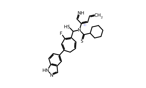 C=C/C=C(\C=N)N(C(=S)C1CCCCC1)C(S)C1=C(F)C=C(c2ccc3[nH]ncc3c2)CC=C1